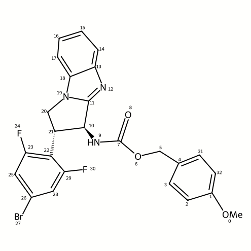 COc1ccc(COC(=O)N[C@@H]2c3nc4ccccc4n3C[C@H]2c2c(F)cc(Br)cc2F)cc1